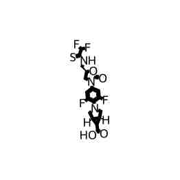 O=C(O)C1[C@H]2CN(c3c(F)cc(N4C[C@@H](CNC(=S)C(F)F)OC4=O)cc3F)C[C@@H]12